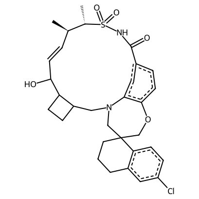 C[C@@H]1/C=C/C(O)C2CCC2CN2CC3(CCCc4cc(Cl)ccc43)COc3ccc(cc32)C(=O)NS(=O)(=O)[C@H]1C